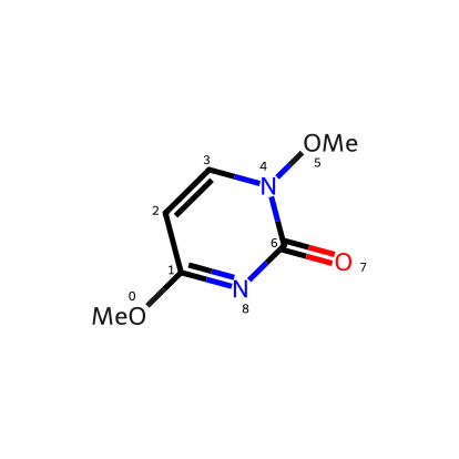 COc1ccn(OC)c(=O)n1